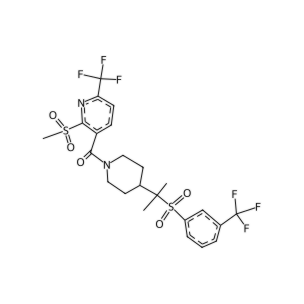 CC(C)(C1CCN(C(=O)c2ccc(C(F)(F)F)nc2S(C)(=O)=O)CC1)S(=O)(=O)c1cccc(C(F)(F)F)c1